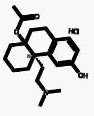 CC(=O)OC12CCCC[C@]1(CCN(C)C)c1cc(O)ccc1CC2.Cl